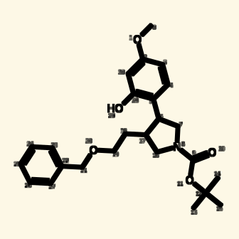 COc1ccc(C2CN(C(=O)OC(C)(C)C)CC2CCOCc2ccccc2)c(O)c1